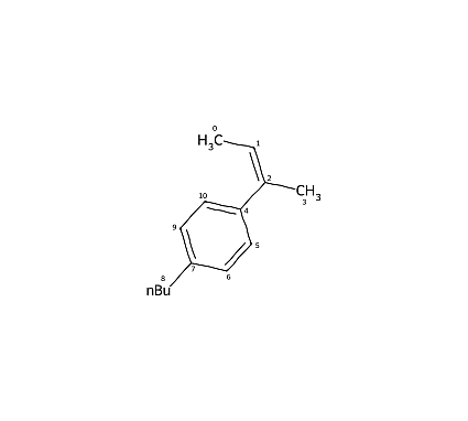 C/C=C(/C)c1ccc(CCCC)cc1